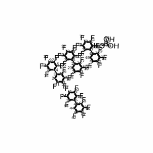 Fc1cc(-c2c(F)c(F)c(F)c(F)c2F)c(F)c(F)c1F.Fc1cc(-c2c(F)c(F)c(F)c(F)c2F)c(F)c(F)c1F.Fc1cc(-c2c(F)c(F)c(F)c(F)c2F)c(F)c(F)c1F.Fc1cc(-c2c(F)c(F)c(F)c(F)c2F)c(F)c(F)c1F.OB(O)O